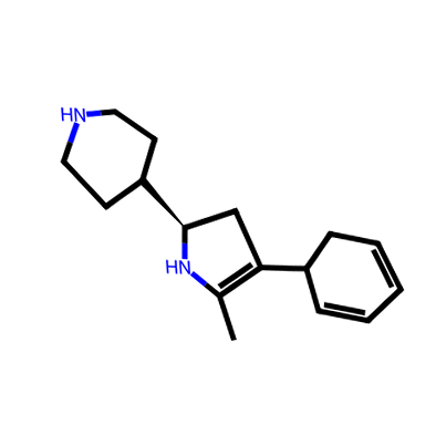 CC1=C(C2C=CC=CC2)C[C@H](C2CCNCC2)N1